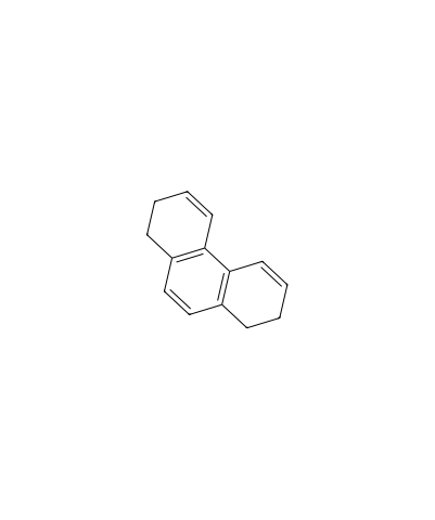 C1=Cc2c(ccc3c2C=CCC3)CC1